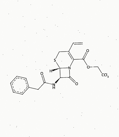 C=CC1=C(C(=O)OCC(Cl)(Cl)Cl)N2C(=O)[C@@H](NC(=O)Cc3ccccc3)[C@@H]2SC1